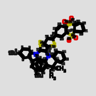 CC(C)(C)c1ccc2c(c1)c1cc(C(C)(C)C)ccc1n2-c1sc2cc(-c3ccc4c(c3)S(=O)(=O)c3ccccc3S4(=O)=O)sc2c1N1c2ccccc2C(C)(C)c2ccccc21